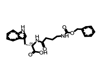 O=C(CCCNC(=O)OCc1ccccc1)N[C@@H](Cc1c[nH]c2ccccc12)C(=O)O